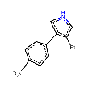 CCc1c[nH]cc1-c1ccc([N+](=O)[O-])cc1